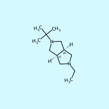 CCN1C[C@@H]2CN(C(C)(C)C)C[C@@H]2C1